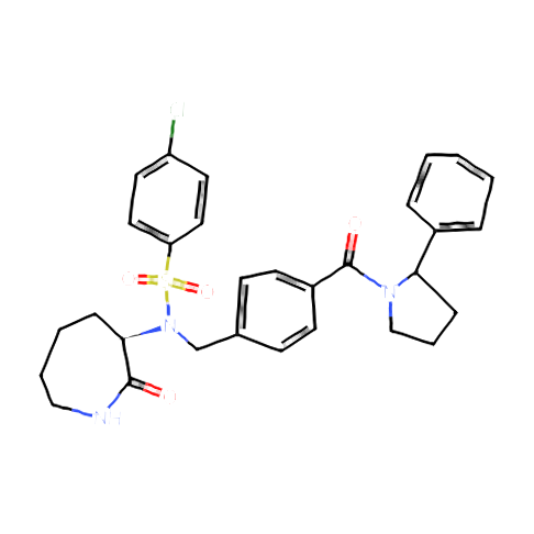 O=C1NCCCC[C@H]1N(Cc1ccc(C(=O)N2CCCC2c2ccccc2)cc1)S(=O)(=O)c1ccc(Cl)cc1